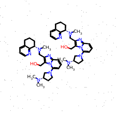 CN(C)[C@H]1CCN(c2cccc3nc(CN(C)[C@H]4CCCc5cccnc54)c(CO)n23)C1.CN(C)[C@H]1CCN(c2cccc3nc(CN(C)[C@H]4CCCc5cccnc54)c(CO)n23)C1